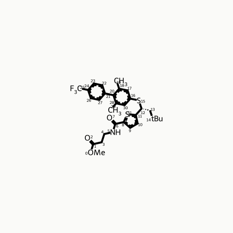 COC(=O)CCNC(=O)c1ccc([C@@H](CC(C)(C)C)Sc2cc(C)c(-c3ccc(C(F)(F)F)cc3)c(C)c2)s1